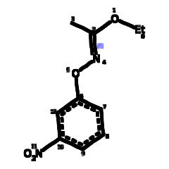 CCO/C(C)=N/Oc1cccc([N+](=O)[O-])c1